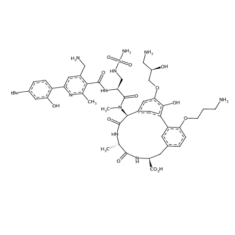 Cc1nc(-c2ccc(C(C)(C)C)cc2O)cc(CN)c1C(=O)N[C@@H](CNS(N)(=O)=O)C(=O)N(C)[C@@H]1C(=O)N[C@@H](C)C(=O)N[C@H](C(=O)O)Cc2ccc(OCCCN)c(c2)-c2cc1cc(OC[C@H](O)CN)c2O